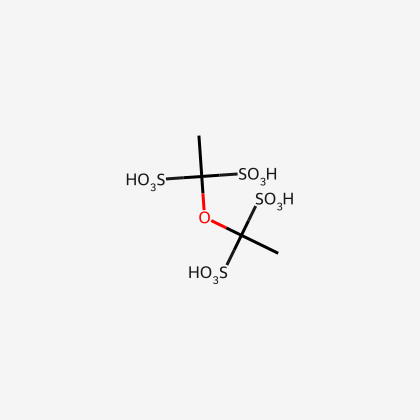 CC(OC(C)(S(=O)(=O)O)S(=O)(=O)O)(S(=O)(=O)O)S(=O)(=O)O